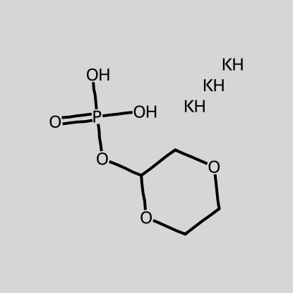 O=P(O)(O)OC1COCCO1.[KH].[KH].[KH]